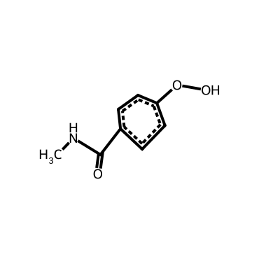 CNC(=O)c1ccc(OO)cc1